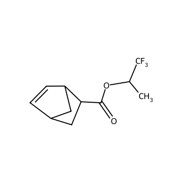 CC(OC(=O)C1CC2C=CC1C2)C(F)(F)F